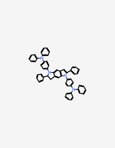 c1ccc(-c2cc3cc4c(cc3n2-c2ccc(N(c3ccccc3)c3ccccc3)cc2)CC(c2ccccc2)N4c2ccc(N(c3ccccc3)c3ccccc3)cc2)cc1